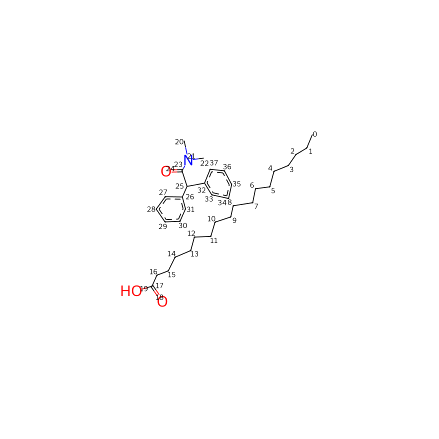 CCCCCCCCCCCCCCCCCC(=O)O.CN(C)C(=O)C(c1ccccc1)c1ccccc1